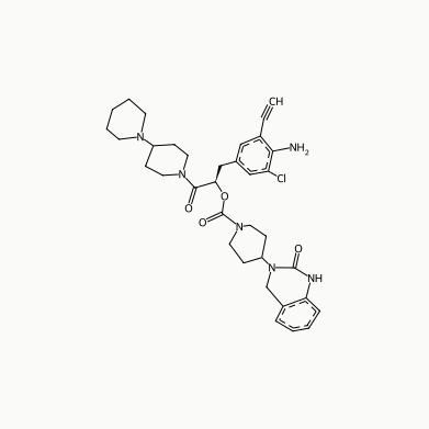 C#Cc1cc(C[C@@H](OC(=O)N2CCC(N3Cc4ccccc4NC3=O)CC2)C(=O)N2CCC(N3CCCCC3)CC2)cc(Cl)c1N